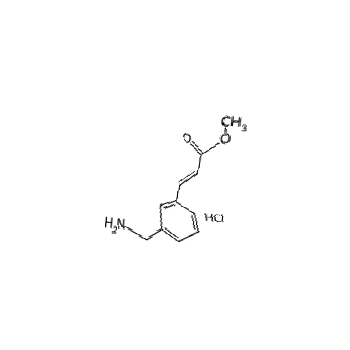 COC(=O)C=Cc1cccc(CN)c1.Cl